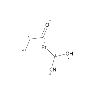 CCC(O)C#N.CCC=O